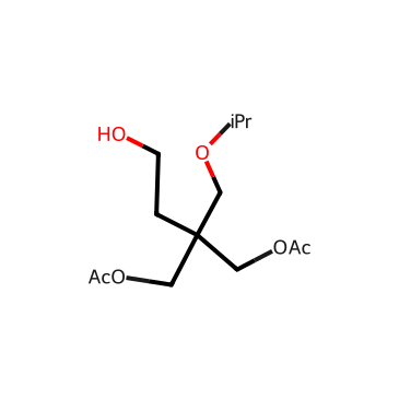 CC(=O)OCC(CCO)(COC(C)=O)COC(C)C